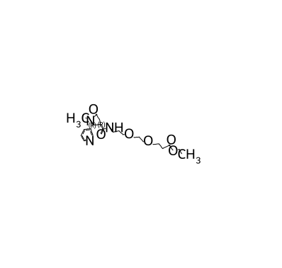 CCOC(=O)CCCOCCCOCCCNC(=O)[C@@H]1CC(=O)N(C)[C@H]1c1cccnc1